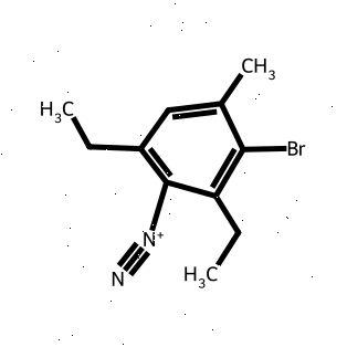 CCc1cc(C)c(Br)c(CC)c1[N+]#N